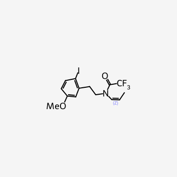 C/C=C\N(CCc1cc(OC)ccc1I)C(=O)C(F)(F)F